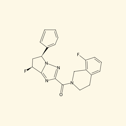 O=C(c1nc2n(n1)[C@H](c1ccccc1)C[C@@H]2F)N1CCc2cccc(F)c2C1